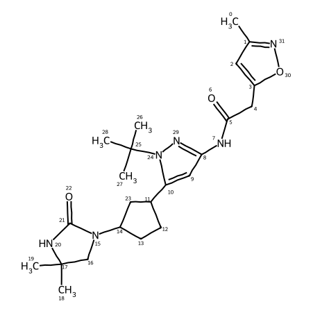 Cc1cc(CC(=O)Nc2cc(C3CCC(N4CC(C)(C)NC4=O)C3)n(C(C)(C)C)n2)on1